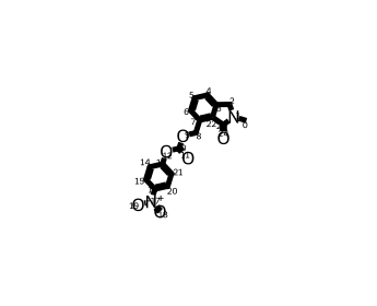 CN1Cc2cccc(COC(=O)Oc3ccc([N+](=O)[O-])cc3)c2C1=O